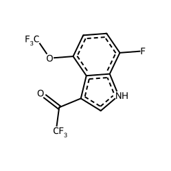 O=C(c1c[nH]c2c(F)ccc(OC(F)(F)F)c12)C(F)(F)F